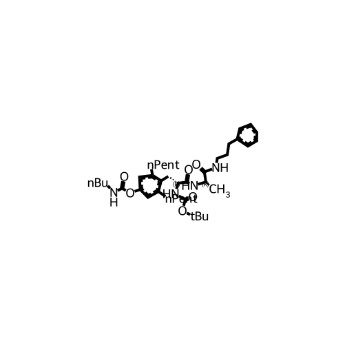 CCCCCc1cc(OC(=O)NCCCC)cc(CCCCC)c1C[C@@H](NC(=O)OC(C)(C)C)C(=O)N[C@H](C)C(=O)NCCCc1ccccc1